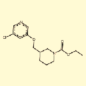 CCOC(=O)N1CCCC(COc2cncc(Cl)c2)C1